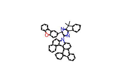 CC1(C)c2ccccc2-c2nc(-n3c4ccc5ccccc5c4c4c5c6ccccc6c6ccccc6c5ccc43)c(-c3ccc4oc5ccccc5c4c3)nc21